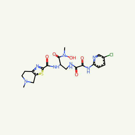 CN1CCc2nc(C(=O)NC(CNC(=O)C(=O)Nc3ccc(Cl)cn3)C(=O)N(C)O)sc2C1